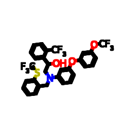 OC(CN(Cc1ccccc1SC(F)(F)F)c1cccc(Oc2cccc(OC(F)(F)F)c2)c1)c1ccccc1C(F)(F)F